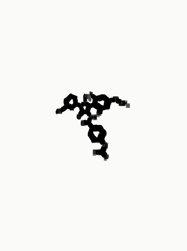 COc1cc(F)c(-c2c(NC(=O)c3ccc(OC(F)F)cc3)c(=O)n(-c3cccc(Cl)n3)n2C)c(F)c1